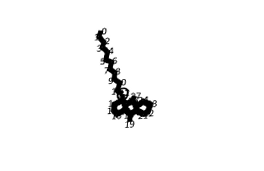 CCCCCCCCCCCCOc1cccc2c(C)c3ccccc3c(C)c12